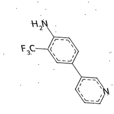 Nc1ccc(-c2cccnc2)cc1C(F)(F)F